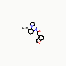 COC1CCCC(N(C)C(=O)Cc2cccc3occc23)C1N1CCCC1